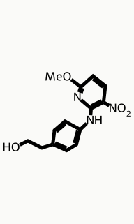 COc1ccc([N+](=O)[O-])c(Nc2ccc(CCO)cc2)n1